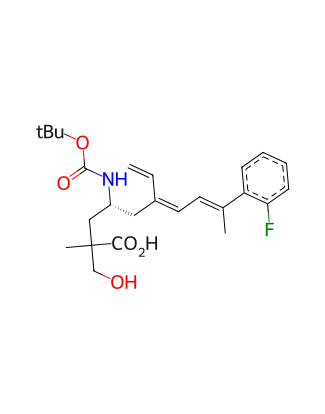 C=C/C(=C\C=C(/C)c1ccccc1F)C[C@H](CC(C)(CO)C(=O)O)NC(=O)OC(C)(C)C